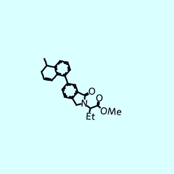 CCC(C(=O)OC)N1Cc2ccc(-c3cccc4c3C=CCC4C)cc2C1=O